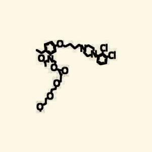 CCc1ccc(OCCCCN2CCN(c3cccc(Cl)c3Cl)CC2)cc1N(COC1OC1COCCOCCOC)C(C)=O